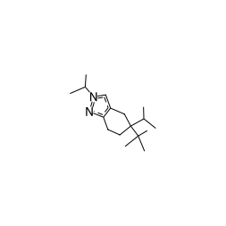 CC(C)n1cc2c(n1)CCC(C(C)C)(C(C)(C)C)C2